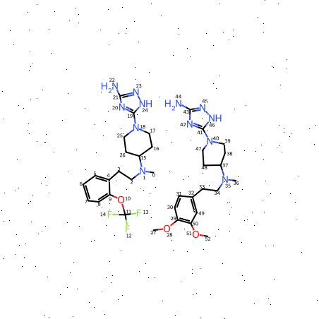 CN(CCc1ccccc1OC(F)(F)F)C1CCN(c2nc(N)n[nH]2)CC1.COc1ccc(CCN(C)C2CCN(c3nc(N)n[nH]3)CC2)cc1OC